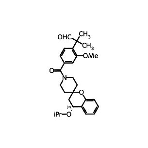 COc1cc(C(=O)N2CCC3(CC2)C[C@@H](OC(C)C)c2ccccc2O3)ccc1C(C)(C)C=O